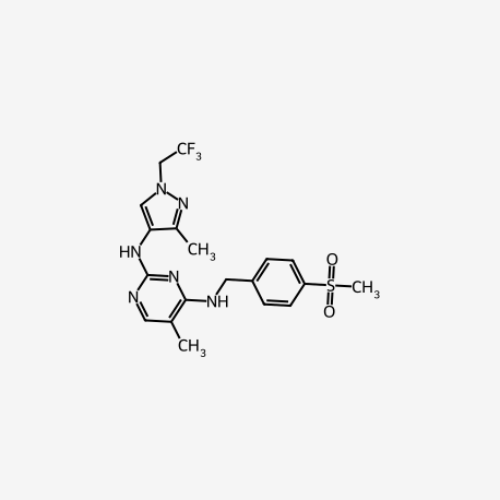 Cc1cnc(Nc2cn(CC(F)(F)F)nc2C)nc1NCc1ccc(S(C)(=O)=O)cc1